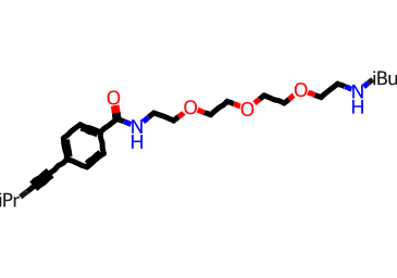 CCC(C)NCCOCCOCCOCCNC(=O)c1ccc(C#CC(C)C)cc1